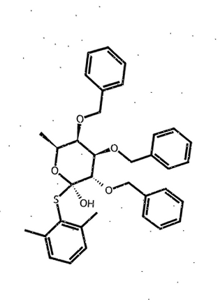 Cc1cccc(C)c1S[C@@]1(O)O[C@@H](C)[C@@H](OCc2ccccc2)[C@@H](OCc2ccccc2)[C@@H]1OCc1ccccc1